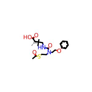 CC(=O)SCCN(CCOc1ccccc1)C(=O)NCC(C)(C)[C@H](C)C(=O)O